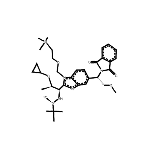 COC[C@H](c1ccc2c(c1)nc([C@@H](N[S@+]([O-])C(C)(C)C)[C@@H](C)OC1CC1)n2COCC[Si](C)(C)C)N1C(=O)c2ccccc2C1=O